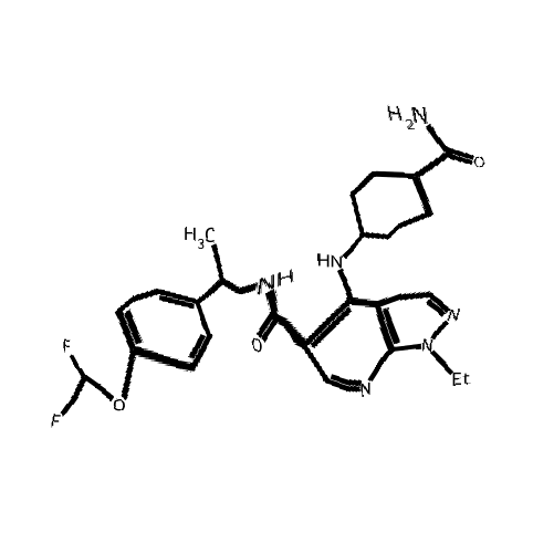 CCn1ncc2c(NC3CCC(C(N)=O)CC3)c(C(=O)NC(C)c3ccc(OC(F)F)cc3)cnc21